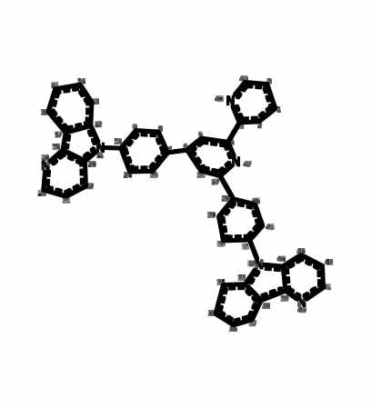 c1ccc(-c2cc(-c3ccc(-n4c5ccccc5c5ncccc54)cc3)cc(-c3ccc(-n4c5ccccc5c5ncccc54)cc3)n2)nc1